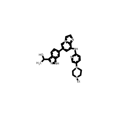 CCN1CCN(c2ccc(Nc3cc(-c4ccc5c(C(C)O)n[nH]c5c4)cn4ccnc34)nc2)CC1